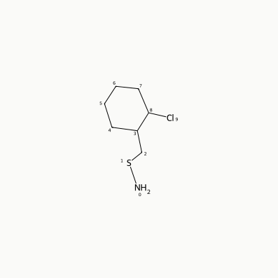 NSCC1CCCCC1Cl